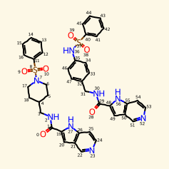 O=C(NCC1CCN(S(=O)(=O)c2ccccc2)CC1)c1cc2cnccc2[nH]1.O=C(NCc1ccc(NS(=O)(=O)c2ccccc2)cc1)c1cc2cnccc2[nH]1